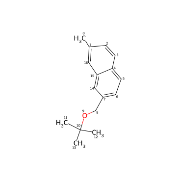 Cc1ccc2ccc(COC(C)(C)C)cc2c1